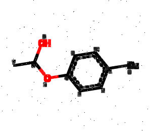 CCC(C)c1ccc(OC(C)O)cc1